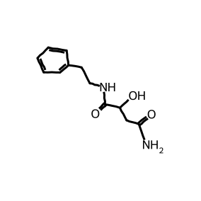 NC(=O)CC(O)C(=O)NCCc1ccccc1